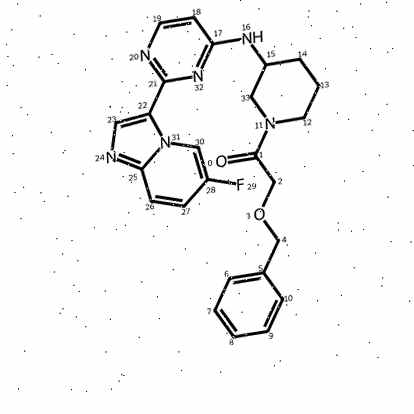 O=C(COCc1ccccc1)N1CCCC(Nc2ccnc(-c3cnc4ccc(F)cn34)n2)C1